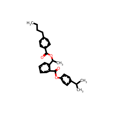 CCCCc1ccc(C(=O)OC(C)c2ccccc2C(=O)Oc2ccc(C(C)C)cc2)cc1